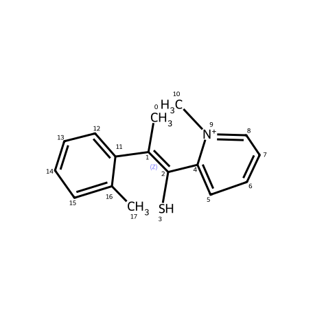 C/C(=C(/S)c1cccc[n+]1C)c1ccccc1C